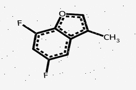 Cc1coc2c(F)cc(F)cc12